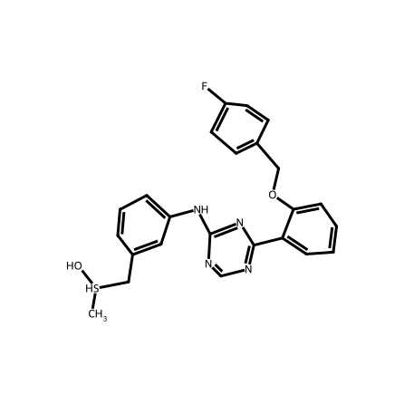 C[SH](O)Cc1cccc(Nc2ncnc(-c3ccccc3OCc3ccc(F)cc3)n2)c1